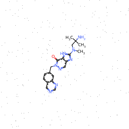 CN(CC(C)(C)N)c1nc2cnn(Cc3ccc4cncnc4c3)c(=O)c2[nH]1